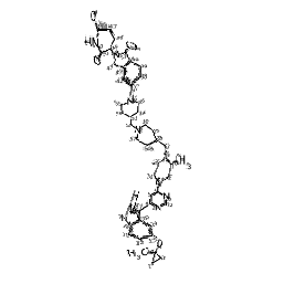 C[C@H]1CN(c2cc(-c3[nH]nc4ccc(OC5(C)CC5)cc34)ncn2)CCN1CC1CCN(CC2CCN(c3ccc4c(c3)CN(C3CCC(=O)NC3=O)C4=O)CC2)CC1